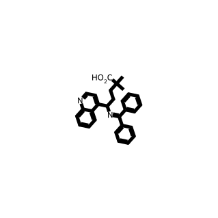 CC(C)(CCC(N=C(c1ccccc1)c1ccccc1)c1ccnc2ccccc12)C(=O)O